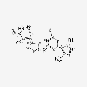 Cc1cnn(C)c1-c1cc(F)nc(O[C@@H]2CCN(c3cn[nH]c(=O)c3Cl)C2)c1